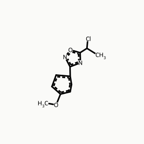 COc1ccc(-c2noc(C(C)Cl)n2)cc1